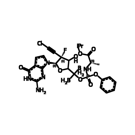 BC(B)(OP(=O)(N[C@@H](C)C(=O)OC(C)C)Oc1ccccc1)C1O[C@@H](n2ccc3c(=O)[nH]c(N)nc32)[C@@](F)(C#CCl)C1O